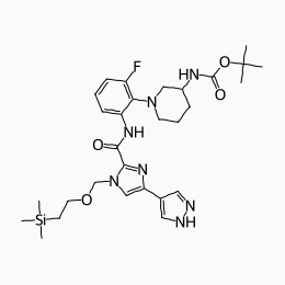 CC(C)(C)OC(=O)NC1CCCN(c2c(F)cccc2NC(=O)c2nc(-c3cn[nH]c3)cn2COCC[Si](C)(C)C)C1